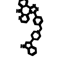 c1ccc2c(c1)Nc1ncccc1-n1c(-c3ccc(CN4CCC(c5c[nH]c6ccccc56)CC4)cc3)nnc1-2